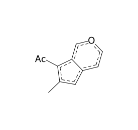 CC(=O)c1c(C)cc2ccocc1-2